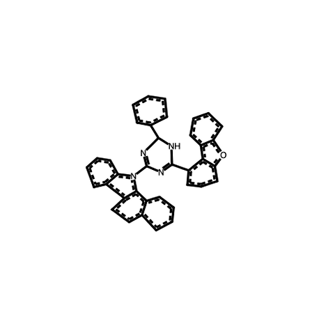 c1ccc(C2N=C(n3c4ccccc4c4ccc5ccccc5c43)N=C(c3cccc4oc5ccccc5c34)N2)cc1